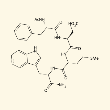 CSCC[C@@H](NC(=O)[C@H](CC(=O)O)NC(=O)[C@H](Cc1ccccc1)NC(C)=O)C(=O)N[C@@H](Cc1c[nH]c2ccccc12)C(N)=O